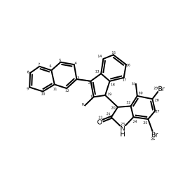 CC1=C(c2ccc3ccccc3c2)c2ccccc2C1C1C(=O)Nc2c(Br)cc(Br)c(C)c21